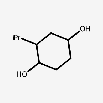 CC(C)C1CC(O)CCC1O